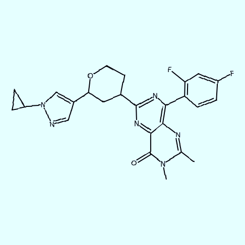 Cc1nc2c(-c3ccc(F)cc3F)nc(C3CCOC(c4cnn(C5CC5)c4)C3)nc2c(=O)n1C